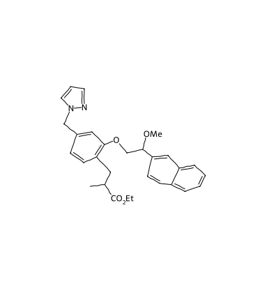 CCOC(=O)C(C)Cc1ccc(Cn2cccn2)cc1OCC(OC)c1ccc2ccccc2c1